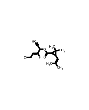 C#CC(OC(=O)C1C(C=C(C)C)C1(C)C)/C(F)=C/CCl